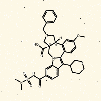 COc1ccc2c(c1)[C@H]1CN(Cc3ccccc3)C[C@@]1(C(=O)O)Cn1c-2c(C2CCCCC2)c2ccc(C(=O)NS(=O)(=O)N(C)C)cc21